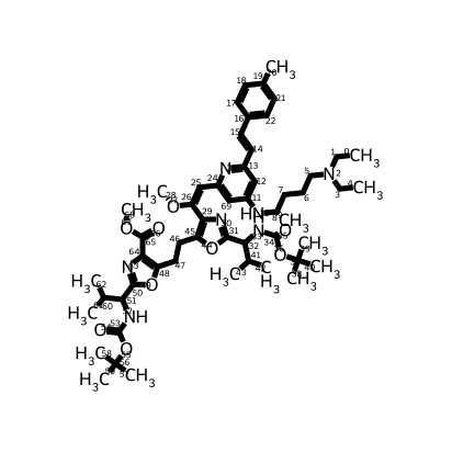 CCN(CC)CCCC(C)Nc1cc(/C=C/c2ccc(C)cc2)nc(/C=C(/OC)c2nc(C(NC(=O)OC(C)(C)C)C(C)C)oc2CCc2oc(C(NC(=O)OC(C)(C)C)C(C)C)nc2C(=O)OC)c1